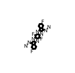 N#C/N=c1\c2cc(F)ccc2c2nc3c(F)c4nc5/c(=N/C#N)c6cc(F)ccc6c5nc4c(F)c3nc12